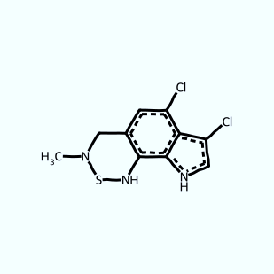 CN1Cc2cc(Cl)c3c(Cl)c[nH]c3c2NS1